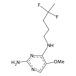 COc1cnc(N)nc1NCCCC(C)(F)F